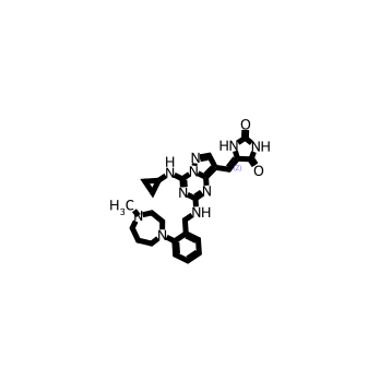 CN1CCCN(c2ccccc2CNc2nc(NC3CC3)n3ncc(/C=C4\NC(=O)NC4=O)c3n2)CC1